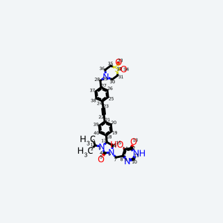 CC(C)N1C(=O)N(Cc2nc[nH]c(=O)c2O)CC1c1ccc(C#Cc2ccc(CN3CCS(=O)(=O)CC3)cc2)cc1